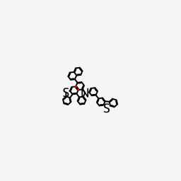 c1cc(-c2ccc3sc4ccccc4c3c2)cc(N(c2ccc(-c3cccc4ccccc34)cc2)c2ccccc2-c2cccc3sc4ccccc4c23)c1